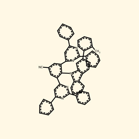 Cc1ccccc1-c1ccc2c3ccccc3n(-c3c(-c4cc(-c5ccccc5)nc(-c5ccccc5)n4)cc(C#N)cc3-c3cc(-c4ccccc4)nc(-c4ccccc4)n3)c2c1